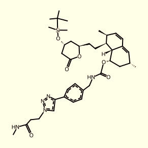 CNC(=O)CCn1cc(-c2ccc(CNC(=O)O[C@H]3C[C@@H](C)C=C4C=C[C@H](C)[C@H](CC[C@@H]5C[C@@H](O[Si](C)(C)C(C)(C)C)CC(=O)O5)[C@H]43)cc2)nn1